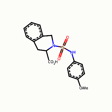 COc1ccc(NS(=O)(=O)N2Cc3ccccc3CC2C(=O)O)cc1